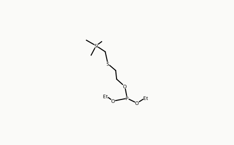 CCOP(OCC)OCCSC[Si](C)(C)C